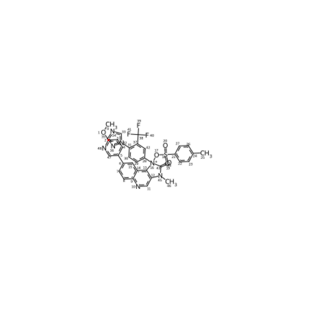 COc1ccc(-c2ccc3ncc4c(c3c2)[N+](OS(=O)(=O)c2ccc(C)cc2)(c2ccc(-n3cncn3)c(C(F)(F)F)c2)C(=O)N4C)cn1